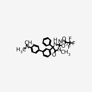 CN(C)c1ccc(-c2cccc(C3(c4ccccc4)NC(N)(OC(=O)C(F)(F)F)N(C)C3=O)c2)cc1